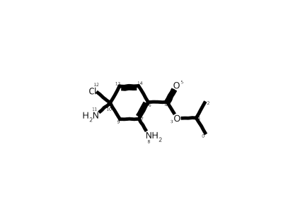 CC(C)OC(=O)C1=C(N)CC(N)(Cl)C=C1